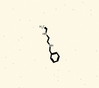 C=CNCCNCc1ccccc1